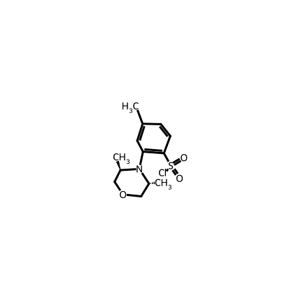 Cc1ccc(S(=O)(=O)Cl)c(N2[C@H](C)COC[C@H]2C)c1